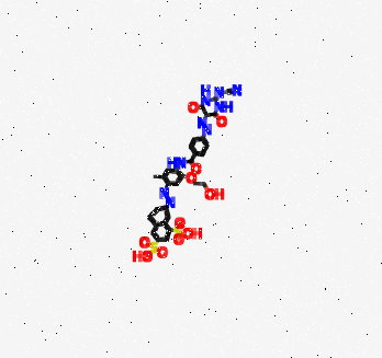 Cc1cc(NC(=O)c2ccc(/N=N/C3C(=O)NC(=NC#N)NC3=O)cc2)c(OCCO)cc1/N=N/c1ccc2cc(S(=O)(=O)O)cc(S(=O)(=O)O)c2c1